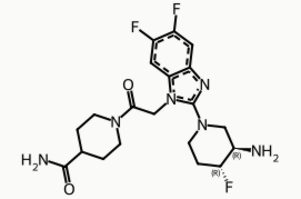 NC(=O)C1CCN(C(=O)Cn2c(N3CC[C@@H](F)[C@H](N)C3)nc3cc(F)c(F)cc32)CC1